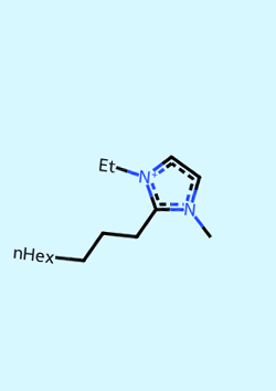 CCCCCCCCCc1n(C)cc[n+]1CC